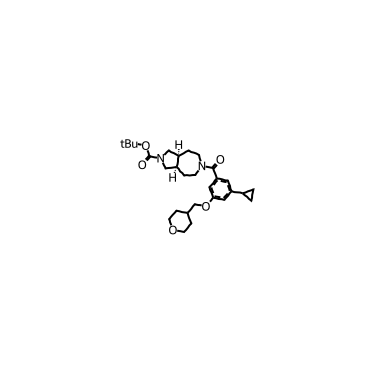 CC(C)(C)OC(=O)N1C[C@H]2CCN(C(=O)c3cc(OCC4CCOCC4)cc(C4CC4)c3)CC[C@H]2C1